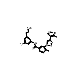 CNCCc1cc(NC(=O)c2ccc(C)c(-n3cc(-c4cn[nH]c4C)nn3)c2)cc(C(F)(F)F)c1